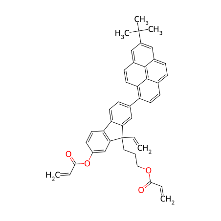 C=CC(=O)OCCCC1(C=C)c2cc(OC(=O)C=C)ccc2-c2ccc(-c3ccc4ccc5cc(C(C)(C)C)cc6ccc3c4c56)cc21